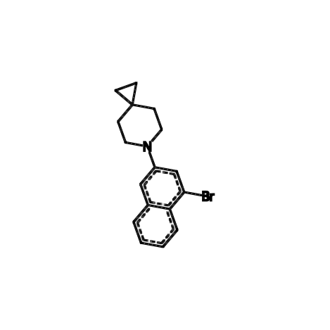 Brc1cc(N2CCC3(CC2)CC3)cc2ccccc12